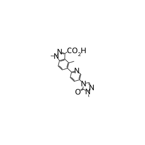 Cc1c(-c2ccc(-n3cnn(C)c3=O)cn2)ccc2c1c(C(=O)O)nn2C